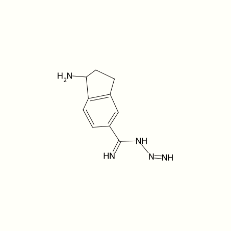 N=NNC(=N)c1ccc2c(c1)CCC2N